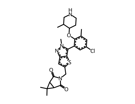 Cc1cc(Cl)cc(-c2c3sc(CN4C(=O)C5C(C4=O)C5(C)C)cc3nn2C)c1OC1CCNCC1C